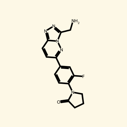 NCc1nnc2ccc(-c3ccc(N4CCCC4=O)c(F)c3)nn12